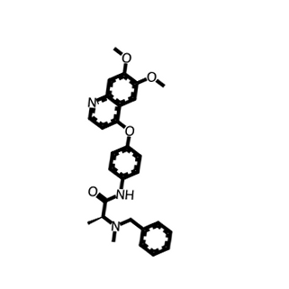 COc1cc2nccc(Oc3ccc(NC(=O)[C@H](C)N(C)Cc4ccccc4)cc3)c2cc1OC